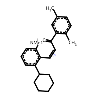 C=C(/C=C\c1c(NC)cccc1C1CCCCC1)c1cc(C)ccc1C